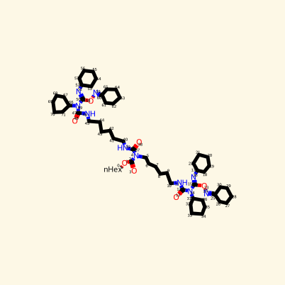 CCCCCCOC(=O)N(CCCCCCNC(=O)N(/C(=N/C1CCCCC1)ON=C1CCCCC1)C1CCCCC1)C(=O)NCCCCCCNC(=O)N(/C(=N/C1CCCCC1)ON=C1CCCCC1)C1CCCCC1